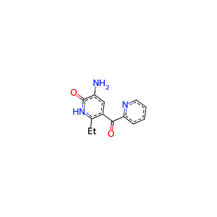 CCc1[nH]c(=O)c(N)cc1C(=O)c1ccccn1